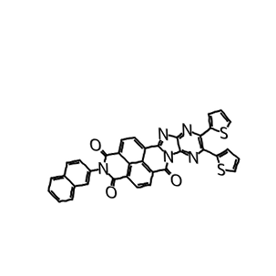 O=C1c2ccc3c(=O)n4c5nc(-c6cccs6)c(-c6cccs6)nc5nc4c4ccc(c2c34)C(=O)N1c1ccc2ccccc2c1